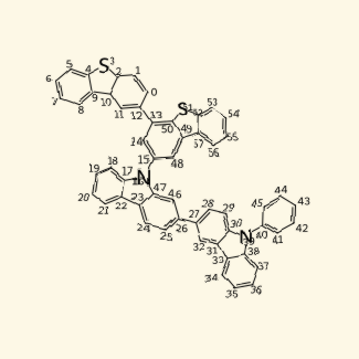 C1=CC2Sc3ccccc3C2C=C1c1cc(-n2c3ccccc3c3ccc(-c4ccc5c(c4)c4ccccc4n5-c4ccccc4)cc32)cc2c1sc1ccccc12